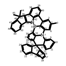 Cc1cc2c3c(c1)N1c4ccccc4C4(c5ccccc5-c5ccccc54)c4cccc(c41)B3n1c3c(c4cccc-2c41)C(C)(C)c1ccccc1-3